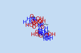 CCCCCN1C(=O)C(C(O[C@H]2O[C@H](CN)[C@H](O)[C@H]2OC)[C@H]2O[C@@H](n3ccc(=O)[nH]c3=O)[C@H](O)[C@@H]2O)N(CCCNC(=O)C(NC(=O)C(NC(=O)NC(C(=O)O)C(C)C)C2CCNC(=N)N2)C(O)C(C)C)C1=O